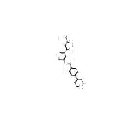 CNC1=NCNC(c2c[nH]c(=O)c(NC(=O)c3ccc(C4=CCNCC4)cc3)c2)=C1